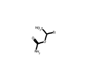 CCC(OC(N)=O)S(=O)(=O)O